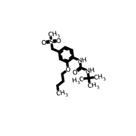 CCCCOc1cc(CS(C)(=O)=O)ccc1NC(=O)NC(C)(C)C